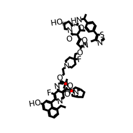 CCc1cccc2cc(O)cc(-c3ncc4c(N5CC6CCC(C5)N6C(=O)OC(C)(C)C)nc(OCCN5CCC(F)(COc6cc(C(C(=O)N7C[C@H](O)C[C@H]7C(=O)NC(C)c7ccc(-c8scnc8C)cc7)C(C)C)on6)CC5)nc4c3F)c12